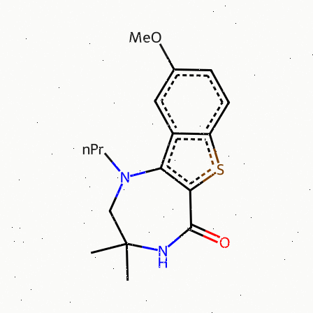 CCCN1CC(C)(C)NC(=O)c2sc3ccc(OC)cc3c21